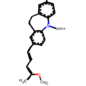 CCCCCCN1c2ccccc2CCc2cc(/C=C/C=C(/C)OC=O)ccc21